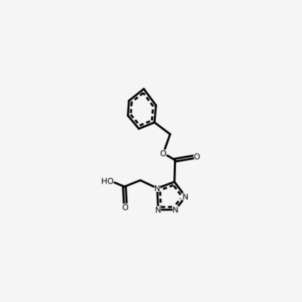 O=C(O)Cn1nnnc1C(=O)OCc1ccccc1